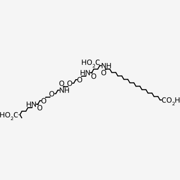 C[C@@H](CCCCNC(=O)COCCOCCNC(=O)COCCOCCNC(=O)CC[C@H](NC(=O)CCCCCCCCCCCCCCCCCCC(=O)O)C(=O)O)C(=O)O